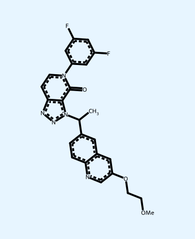 COCCOc1cnc2ccc(C(C)n3nnc4ccn(-c5cc(F)cc(F)c5)c(=O)c43)cc2c1